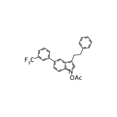 CC(=O)On1cc(CCc2ccccc2)c2cc(-c3cccc(C(F)(F)F)c3)ccc21